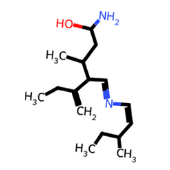 C=C(CC)C(/C=N/C=C\C(C)CC)C(C)CC(N)O